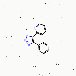 c1ccc(-c2nn[nH]c2-c2ccccn2)cc1